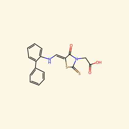 O=C(O)CN1C(=O)C(=CNc2ccccc2-c2ccccc2)SC1=S